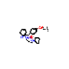 COc1ccc(C(CC#N)P2(=O)N(c3ccccc3)CCCN2c2ccccc2)cc1